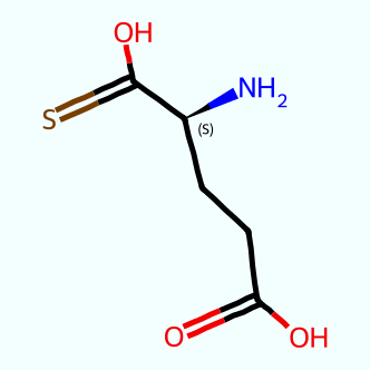 N[C@@H](CCC(=O)O)C(O)=S